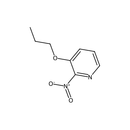 CCCOc1cccnc1[N+](=O)[O-]